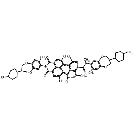 CCC1CCC(C2COc3cc(C)c(N4C(=O)c5cc(Cl)c6c7c(Cl)cc(C=O)c8c(C(=O)N(C)c9cc%10c(cc9C)OCC(C9CCC(C)CC9)CO%10)cc(Cl)c(c9c(Cl)cc(c5c69)C4=O)c87)cc3OC2)CC1